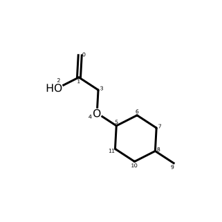 C=C(O)COC1CCC(C)CC1